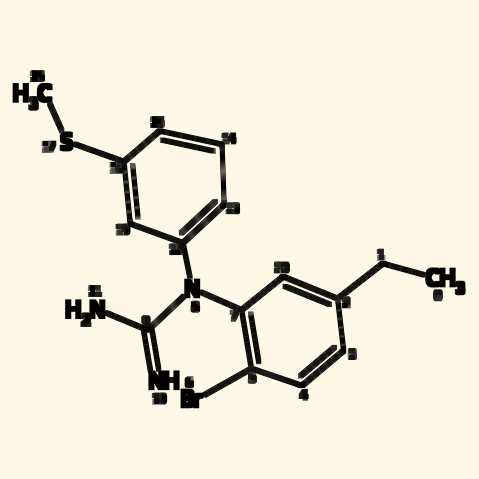 CCc1ccc(Br)c(N(C(=N)N)c2cccc(SC)c2)c1